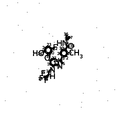 Cc1cc(-c2cnc3c(NCCC(F)(F)F)cc(Oc4cc(F)ccc4O)cn23)ccc1C(=O)NC1CC1